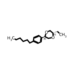 CCCCCCc1ccc([C@@H]2CO[C@@H](CC)CO2)cc1